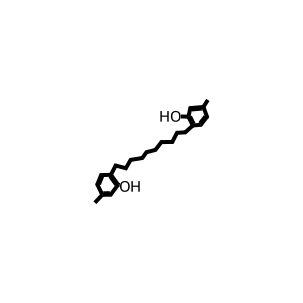 Cc1ccc(CCCCCCCCCCc2ccc(C)cc2O)c(O)c1